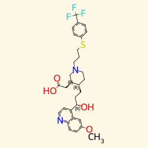 COc1ccc2nccc([C@H](O)CC[C@@H]3CCN(CCCSc4ccc(C(F)(F)F)cc4)C[C@@H]3CC(=O)O)c2c1